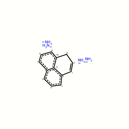 C1=Cc2cccc3cccc(c23)C1.N.N.N.N